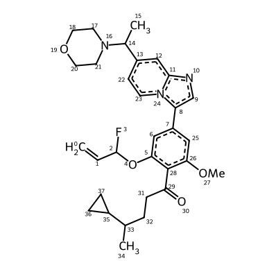 C=CC(F)Oc1cc(-c2cnc3cc(C(C)N4CCOCC4)ccn23)cc(OC)c1C(=O)CCC(C)C1CC1